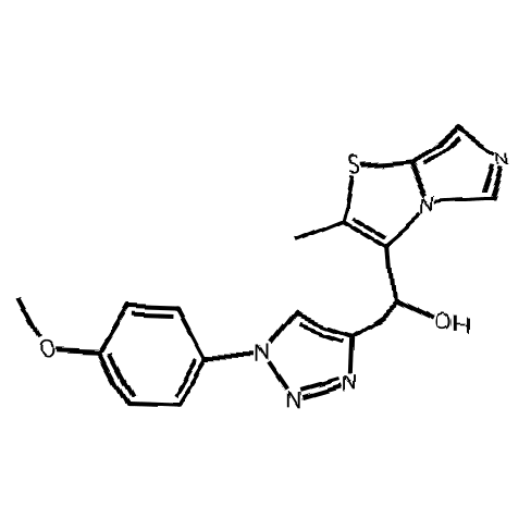 COc1ccc(-n2cc(C(O)c3c(C)sc4cncn34)nn2)cc1